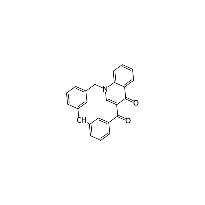 Cc1cccc(Cn2cc(C(=O)c3ccccc3)c(=O)c3ccccc32)c1